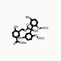 CCCCCCCCOc1ccc(C(C)(C)C)cc1C(O)(c1cc(C(C)(C)C)ccc1OCCCCCCCC)C(C)N=Cc1cc(C(=O)OC)ccc1O